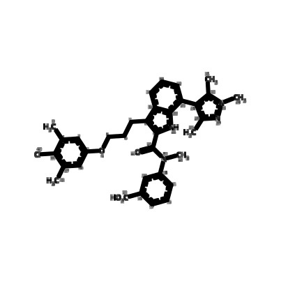 Cc1cc(OCCCc2c(C(=O)N(C)c3cccc(C(=O)O)c3)[nH]c3c(-c4c(C)nn(C)c4C)cccc23)cc(C)c1Cl